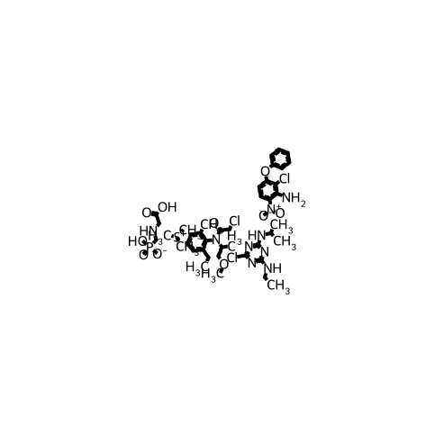 CCNc1nc(Cl)nc(NC(C)C)n1.CCc1cccc(C)c1N(C(=O)CCl)C(C)COC.C[S+](C)C.Nc1c([N+](=O)[O-])ccc(Oc2ccccc2)c1Cl.O=C(O)CNCP(=O)([O-])O